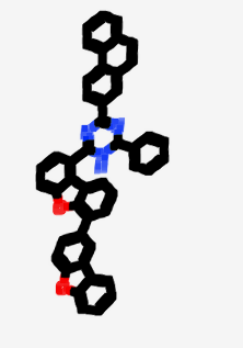 c1ccc(C2N=C(c3ccc4c(ccc5ccccc54)c3)N=C(c3cccc4oc5c(-c6ccc7oc8ccccc8c7c6)cccc5c34)N2)cc1